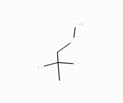 CCC(C)(CC)CO[SiH3]